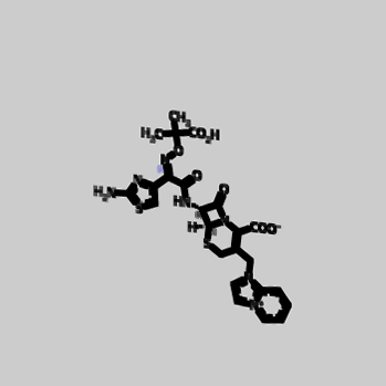 CC(C)(O/N=C(\C(=O)N[C@@H]1C(=O)N2C(C(=O)[O-])=C(Cn3cc[n+]4ccccc34)CS[C@@H]12)c1csc(N)n1)C(=O)O